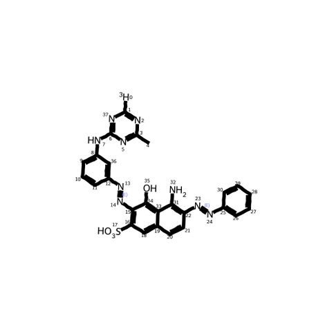 [3H]c1nc(C)nc(Nc2cccc(/N=N/c3c(S(=O)(=O)O)cc4ccc(/N=N/c5ccccc5)c(N)c4c3O)c2)n1